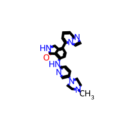 CN1CCN(c2ccc(Nc3ccc(-c4cccc5nccn45)c4c3C(=O)NC4)nc2)CC1